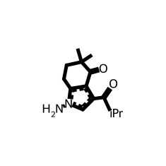 CC(C)C(=O)c1cn(N)c2c1C(=O)C(C)(C)CC2